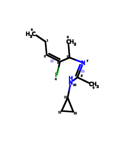 CC/C=C(/F)C(C)/N=C(/C)NC1CC1